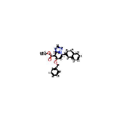 CC(C)(C)OC(=O)c1c(OCc2ccccc2)cc(C2=Cc3ccccc3CC2)n2ncnc12